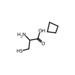 C1CCC1.NC(CS)C(=O)O